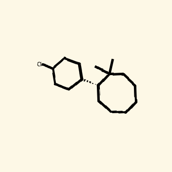 CC1(C)CCCCCC[C@@H]1C1CCC(Cl)CC1